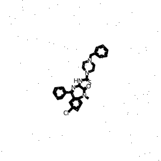 CN1C(=O)C(NC(=S)N2CCN(Cc3ccccc3)CC2)N=C(c2ccccc2)c2cc(Cl)ccc21